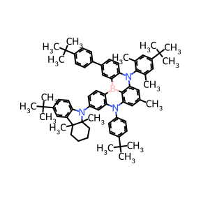 Cc1cc2c3c(c1)N(c1c(C)cc(C(C)(C)C)cc1C)c1ccc(-c4ccc(C(C)(C)C)cc4)cc1B3c1ccc(N3c4ccc(C(C)(C)C)cc4C4(C)CCCCC34C)cc1N2c1ccc(C(C)(C)C)cc1